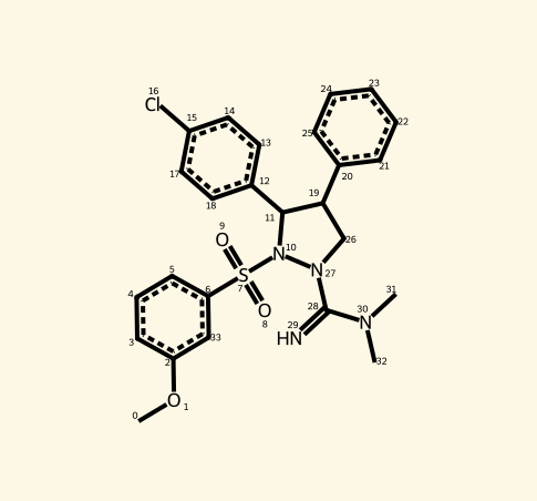 COc1cccc(S(=O)(=O)N2C(c3ccc(Cl)cc3)C(c3ccccc3)CN2C(=N)N(C)C)c1